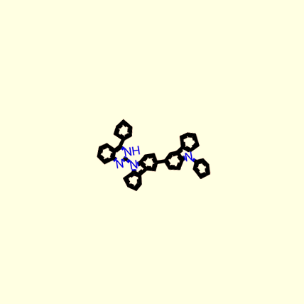 c1ccc(C2=c3ccccc3=NC(n3c4ccccc4c4cc(-c5ccc6c(c5)c5ccccc5n6-c5ccccc5)ccc43)N2)cc1